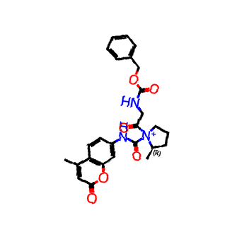 Cc1cc(=O)oc2cc(NC(=O)[N+]3(C(=O)CNC(=O)OCc4ccccc4)CCC[C@H]3C)ccc12